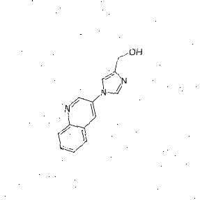 OCc1cn(-c2cnc3ccccc3c2)cn1